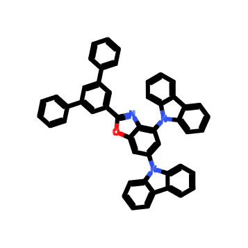 c1ccc(-c2cc(-c3ccccc3)cc(-c3nc4c(-n5c6ccccc6c6ccccc65)cc(-n5c6ccccc6c6ccccc65)cc4o3)c2)cc1